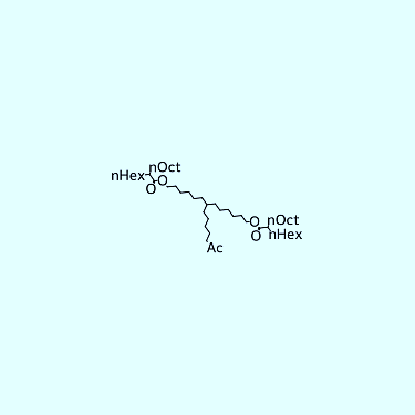 CCCCCCCCC(CCCCCC)C(=O)OCCCCCCC(CCCCCCOC(=O)C(CCCCCC)CCCCCCCC)CCCCCC(C)=O